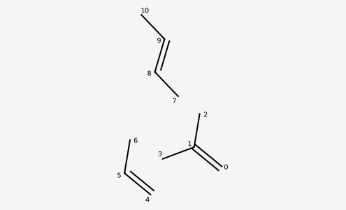 C=C(C)C.C=CC.CC=CC